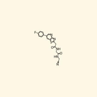 N#CCNC(=O)CNC(=O)Cc1nc2ncc(-c3ccc(F)cc3)cc2s1